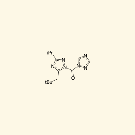 CC(C)c1nc(CC(C)(C)C)n(C(=O)n2cncn2)n1